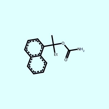 CCC(C)(OC(N)=O)c1cccc2ccccc12